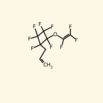 C=CCC1(F)C(F)(F)C(F)(F)C1(F)OC(F)=C(F)F